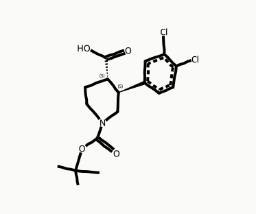 CC(C)(C)OC(=O)N1CC[C@H](C(=O)O)[C@@H](c2ccc(Cl)c(Cl)c2)C1